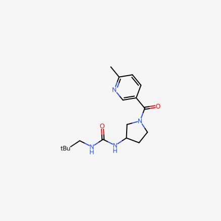 Cc1ccc(C(=O)N2CCC(NC(=O)NCC(C)(C)C)C2)cn1